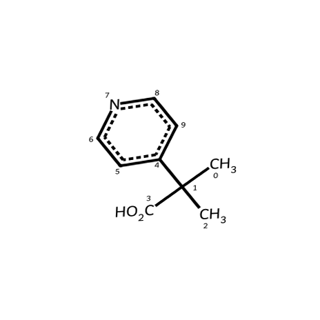 CC(C)(C(=O)O)c1ccncc1